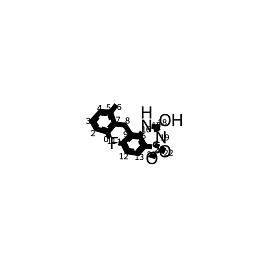 Cc1cccc(C)c1Cc1c(F)ccc2c1NC(O)=NS2(=O)=O